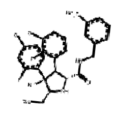 CC(C)(C)C[C@@H]1N[C@@H](C(=O)NCc2cccc(C(=O)O)c2)[C@H](c2cccc(Cl)c2F)[C@@]1(C#N)c1ccc(Cl)cc1F